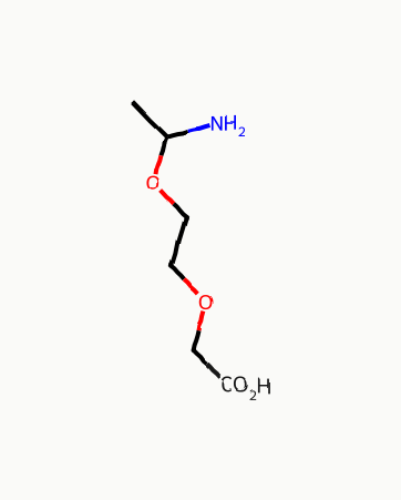 CC(N)OCCOCC(=O)O